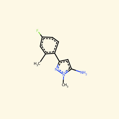 Cc1cc(F)ccc1-c1cc(N)n(C)n1